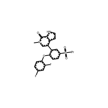 CC(C)S(=O)(=O)c1ccc(Oc2ccc(F)cc2F)c(-c2cn(C)c(=O)c3[nH]ccc23)c1